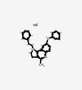 Br.Cc1nc2ccc(Oc3ccccc3)cc2c2c1CCN2CCc1ccccc1